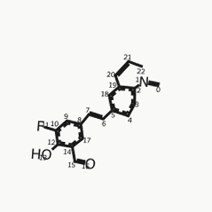 C=Nc1ccc(/C=C/c2cc(F)c(O)c(C=O)c2)cc1/C=C\C